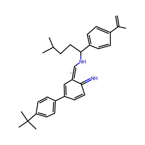 C=C(C)c1ccc(C(CCC(C)C)N/C=C2/C=C(c3ccc(C(C)(C)C)cc3)C=CC2=N)cc1